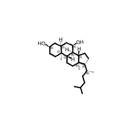 CC(C)CC[C@@H](C)[C@H]1CC[C@H]2[C@@H]3[C@H](O)C[C@@H]4C[C@H](O)CC[C@]4(C)[C@H]3CC[C@]12C